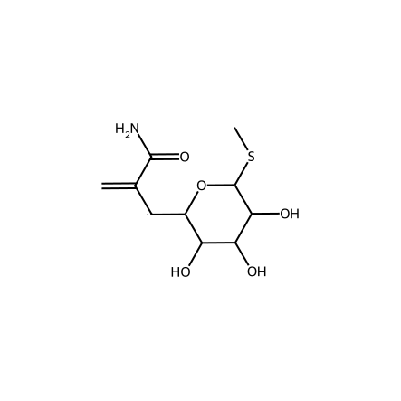 C=C([CH]C1OC(SC)C(O)C(O)C1O)C(N)=O